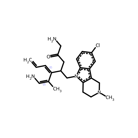 C=C/C=C(\C(C)=C/N)C(CC(=O)CN)Cn1c2c(c3cc(Cl)ccc31)CN(C)CC2